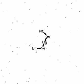 N#C[Se][Hg][Se]C#N